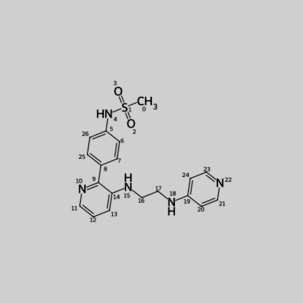 CS(=O)(=O)Nc1ccc(-c2ncccc2NCCNc2ccncc2)cc1